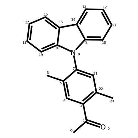 CC(=O)c1cc(C)c(-n2c3ccccc3c3ccccc32)cc1C